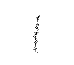 C=CC(=O)OCCCCOC(=O)Oc1ccc(C(=O)O[C@H]2COC3C2OC[C@H]3OC(=O)c2ccc(OC(=O)OCCCCOC(=O)C=C)cc2)cc1